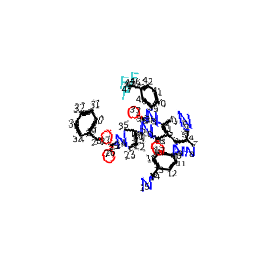 Cc1c(-c2c(C#N)cnn2-c2ccc(C#N)cc2)c(=O)n([C@@H]2CCN(C(=O)OCc3ccccc3)C2)c(=O)n1-c1cccc(C(F)(F)F)c1